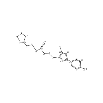 CCc1ccc(-c2nc(CCCC(=O)CCCN3CCCC3)c(C)o2)cc1